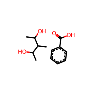 CC(O)C(C)C(C)O.O=C(O)c1ccccc1